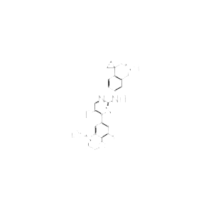 CC(C)N1CCOc2c(F)cc(-c3nc(Nc4ccc5c(c4)CNCC54CC4)ncc3F)cc21